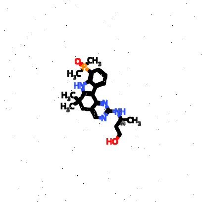 C[C@@H](CCO)Nc1ncc2c(n1)-c1c([nH]c3c(P(C)(C)=O)cccc13)C(C)(C)C2